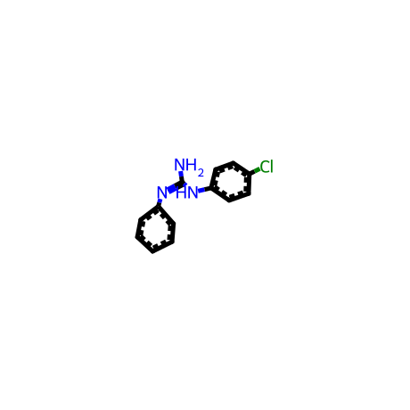 NC(=Nc1ccccc1)Nc1ccc(Cl)cc1